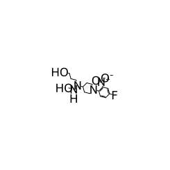 O=[N+]([O-])c1cc(F)ccc1N1CCC(N(CCCO)NO)CC1